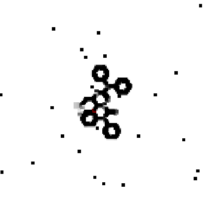 CCC(OC(=O)N(c1ccccc1)c1ccccc1)C(CC)OC(=O)N(c1ccccc1)c1ccccc1